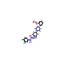 CC(C)Oc1ccccc1N1CCN([C@H]2CC[C@H](NC(=O)Nc3ccc(F)c(F)c3)CC2)CC1